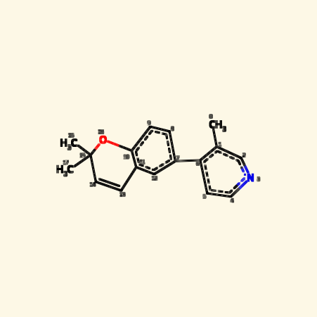 Cc1cnccc1-c1ccc2c(c1)C=CC(C)(C)O2